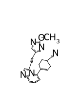 COc1ncc(C#Cc2cnc3cccc(C4=CCC(C#N)CC4)n23)cn1